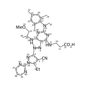 CCc1c(C#N)c(N=Nc2c(NCCC(=O)O)nc(N(C)c3c(C)cc(C)cc3C)nc2NC(C)COC)nn1-c1ncccn1